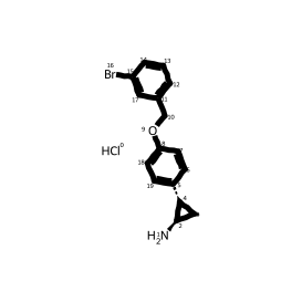 Cl.N[C@@H]1C[C@H]1c1ccc(OCc2cccc(Br)c2)cc1